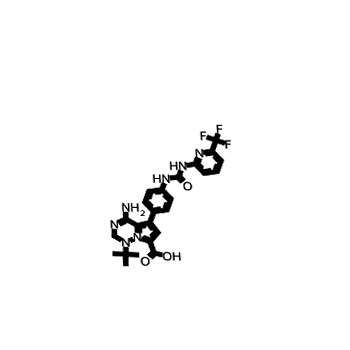 CC(C)(C)N1CN=C(N)c2c(-c3ccc(NC(=O)Nc4cccc(C(F)(F)F)n4)cc3)cc(C(=O)O)n21